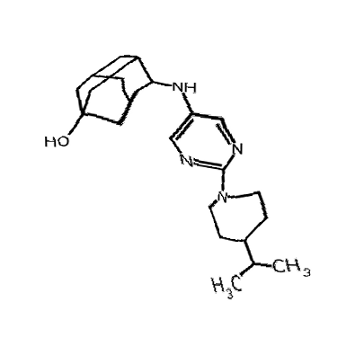 CC(C)C1CCN(c2ncc(NC3C4CC5CC3CC(O)(C5)C4)cn2)CC1